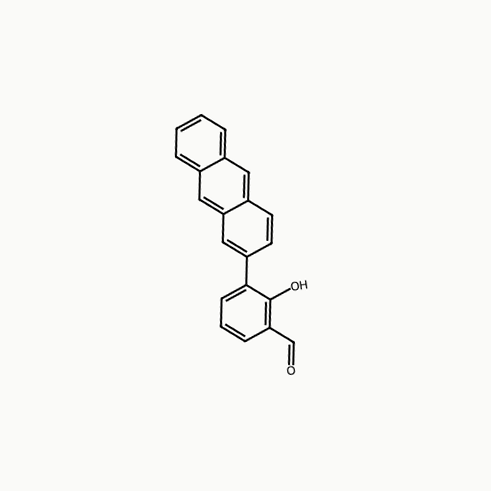 O=Cc1cccc(-c2ccc3cc4ccccc4cc3c2)c1O